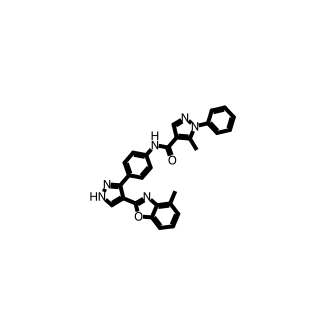 Cc1cccc2oc(-c3c[nH]nc3-c3ccc(NC(=O)c4cnn(-c5ccccc5)c4C)cc3)nc12